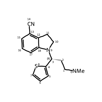 CNCC[C@H](c1cccs1)N1CCc2c(C#N)cccc21